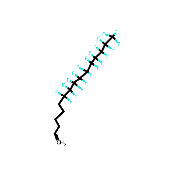 C=CCCCCC(F)(F)C(F)(F)C(F)(F)C(F)(F)C(F)(F)C(F)(F)C(F)(F)C(F)(F)C(F)(F)C(F)(F)F